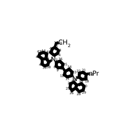 C=Cc1ccc(N(c2ccc(-c3ccc(N(c4ccc(CCC)cc4)c4cccc5ccccc45)cc3)cc2)c2cccc3ccccc23)cc1